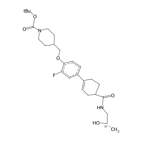 C[C@H](O)CNC(=O)C1CC=C(c2ccc(OCC3CCN(C(=O)OC(C)(C)C)CC3)c(F)c2)CC1